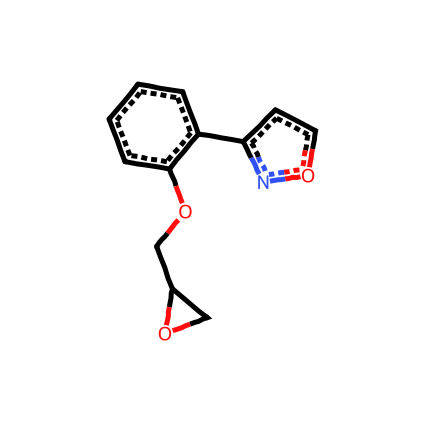 c1ccc(-c2ccon2)c(OCC2CO2)c1